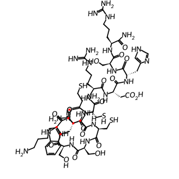 N=C(N)NCCC[C@H](NC(=O)[C@H](CO)NC(=O)[C@H](Cc1c[nH]cn1)NC(=O)[C@H](CC(=O)O)NC(=O)[C@H](CCCNC(=N)N)NC(=O)[C@H](CS)NC(=O)[C@H](Cc1c[nH]c2ccccc12)NC(=O)[C@H](CCCCN)NC(=O)[C@H](CO)NC(=O)[C@H](CO)NC(=O)[C@H](CS)NC(=O)[C@H](CC(N)=O)NC(=O)[C@@H](N)CS)C(N)=O